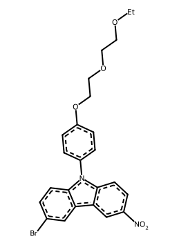 CCOCCOCCOc1ccc(-n2c3ccc(Br)cc3c3cc([N+](=O)[O-])ccc32)cc1